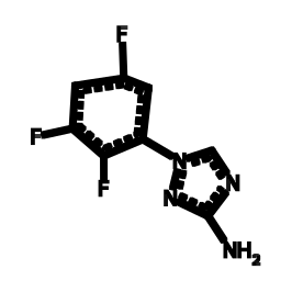 Nc1ncn(-c2cc(F)cc(F)c2F)n1